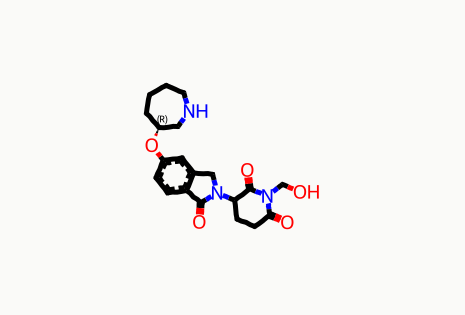 O=C1CCC(N2Cc3cc(O[C@@H]4CCCCNC4)ccc3C2=O)C(=O)N1CO